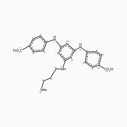 CCOC(=O)c1ccc(Nc2nc(NCCCSC)nc(Nc3ccc(C(=O)OCC)cc3)n2)cc1